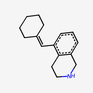 C(=C1CCCCC1)c1cccc2c1CCNC2